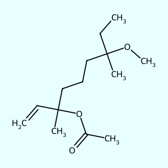 C=CC(C)(CCCC(C)(CC)OC)OC(C)=O